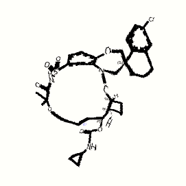 CC1(C)OC/C=C/[C@H](OC(=O)NC2CC2)[C@@H]2CC[C@H]2CN2C[C@@]3(CCCc4cc(Cl)ccc43)COc3ccc(cc32)S(=O)(=O)NC1=O